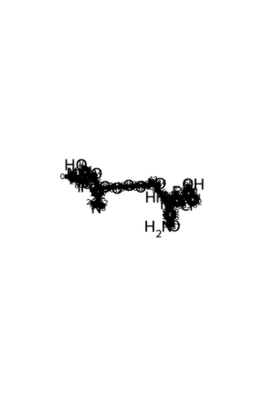 Cc1cc([C@H](C(=O)N2C[C@H](O)C[C@H]2C(=O)NCc2ccc(-c3scnc3C)cc2OCCOCCOCCOCCN(C)C(=O)CCNc2nc(N3CCN(C(N)=O)CC3)c3cc(Cl)c(-c4cc(O)cc5ccccc45)c(F)c3n2)C(C)C)on1